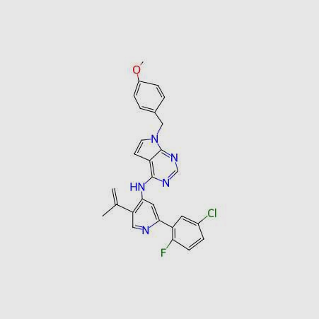 C=C(C)c1cnc(-c2cc(Cl)ccc2F)cc1Nc1ncnc2c1ccn2Cc1ccc(OC)cc1